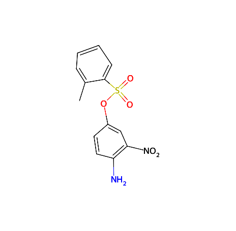 Cc1ccccc1S(=O)(=O)Oc1ccc(N)c([N+](=O)[O-])c1